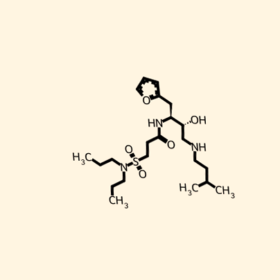 CCCN(CCC)S(=O)(=O)CCC(=O)N[C@@H](Cc1ccco1)[C@H](O)CNCCC(C)C